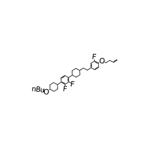 C=CCCOc1ccc(CCC2CCC(c3ccc(C4CCC(OCCCC)CC4)c(F)c3F)CC2)cc1F